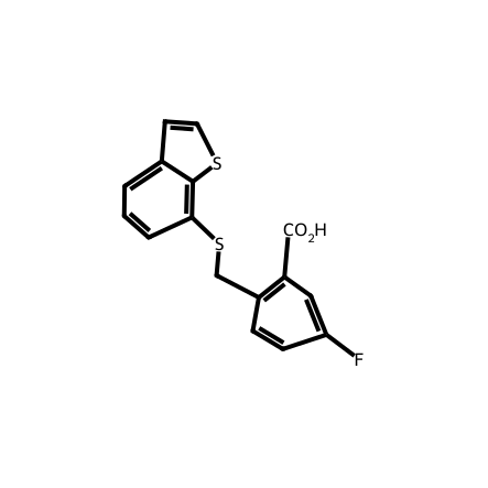 O=C(O)c1cc(F)ccc1CSc1cccc2ccsc12